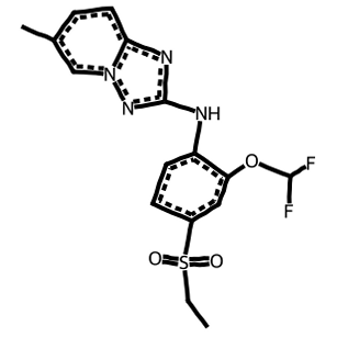 CCS(=O)(=O)c1ccc(Nc2nc3ccc(C)cn3n2)c(OC(F)F)c1